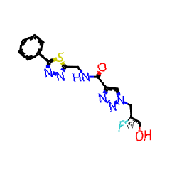 O=C(NCc1nnc(-c2ccccc2)s1)c1cn(C[C@H](F)CO)nn1